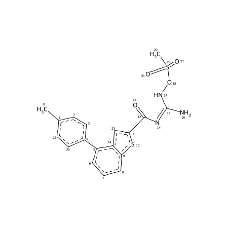 Cc1ccc(-c2cccc3sc(C(=O)N=C(N)NOS(C)(=O)=O)cc23)cc1